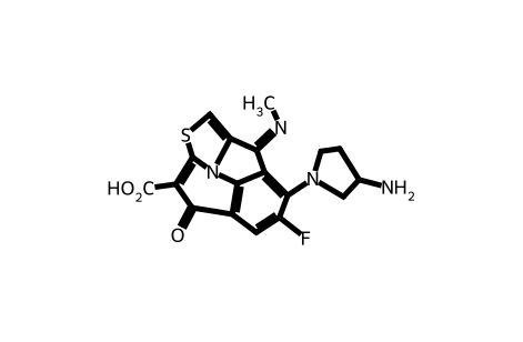 CN=c1c2c(N3CCC(N)C3)c(F)cc3c(=O)c(C(=O)O)c4scc1n4c32